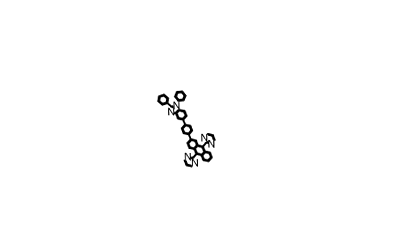 c1ccc(-c2nc3cc(-c4ccc(-c5ccc6c(-c7ncccn7)c7ccccc7c(-c7ncccn7)c6c5)cc4)ccc3n2-c2ccccc2)cc1